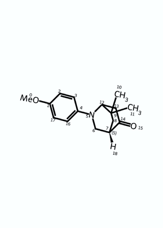 COc1ccc(N2C[C@@H]3CC(C)(C)C2CC3=O)cc1